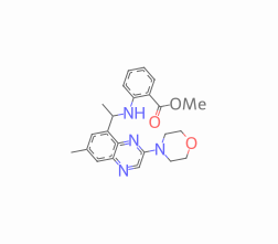 COC(=O)c1ccccc1NC(C)c1cc(C)cc2ncc(N3CCOCC3)nc12